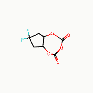 O=C1OC(=O)OC2CC(F)(F)CC2O1